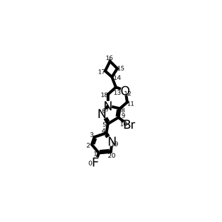 Fc1ccc(-c2nn3c(c2Br)COC(C2CCC2)C3)nc1